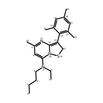 CCCCN(CC)C1=CC(C)=NC2=C(c3c(C)cc(C)cc3C)CSN12